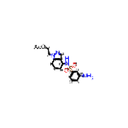 CC(=O)OCCn1ncc2c1CCCC2NS(=O)(=O)c1cccc(N)c1